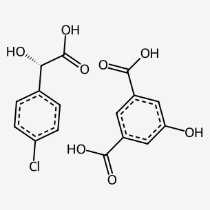 O=C(O)[C@@H](O)c1ccc(Cl)cc1.O=C(O)c1cc(O)cc(C(=O)O)c1